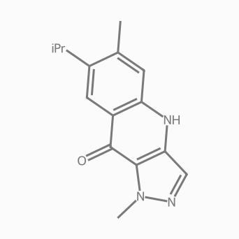 Cc1cc2[nH]c3cnn(C)c3c(=O)c2cc1C(C)C